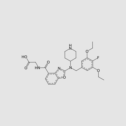 CCOc1cc(CN(c2nc3c(C(=O)NCC(=O)O)cccc3o2)C2CCNCC2)cc(OCC)c1F